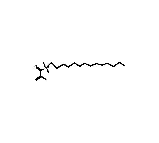 C=C(C)C(=O)[N+](C)(C)CCCCCCCCCCCCCC